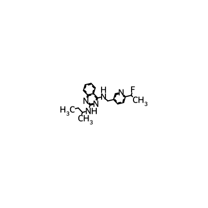 CCC(C)Nc1nc(NCc2ccc(C(C)F)nc2)c2ccccc2n1